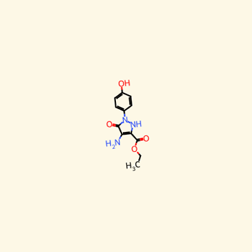 CCOC(=O)c1[nH]n(-c2ccc(O)cc2)c(=O)c1N